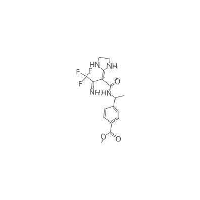 COC(=O)c1ccc(C(C)NC(=O)C(C(=N)C(F)(F)F)=C2NCCN2)cc1